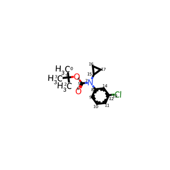 CC(C)(C)OC(=O)N(c1cccc(Cl)c1)C1CC1